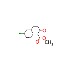 COC(=O)C1C(=O)CCC2CC(F)CCC21